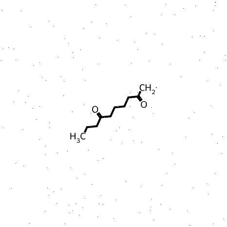 [CH2]C(=O)CCCCC(=O)CCC